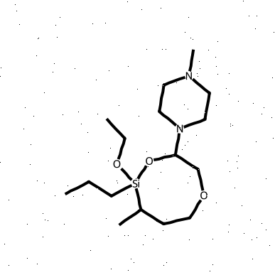 CCC[Si]1(OCC)OC(N2CCN(C)CC2)COCCC1C